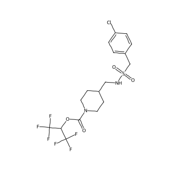 O=C(OC(C(F)(F)F)C(F)(F)F)N1CCC(CNS(=O)(=O)Cc2ccc(Cl)cc2)CC1